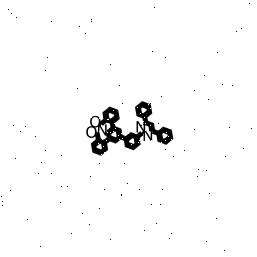 O=c1c2ccccc2c2cc(-c3cccc(-c4nc(-c5ccccc5)cc(-c5ccccc5)n4)c3)cc3c4ccccc4c(=O)n1c23